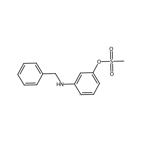 CS(=O)(=O)Oc1cc[c]c(NCc2ccccc2)c1